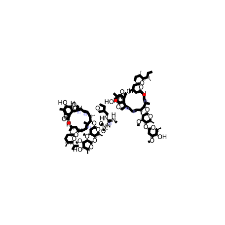 CC[C@H](C)[C@H]1O[C@]2(CC[C@@H]1C)C[C@@H]1C[C@@H](C/C=C(\C)[C@@H](O[C@H]3C[C@H](OC)[C@@H](O[C@H]4C[C@H](OC)[C@@H](O)[C@H](C)O4)[C@H](C)O3)[C@@H](C)/C=C/C=C3\CO[C@@H]4[C@H](O)C(C)=C[C@@H](C(=O)O1)[C@]34O)O2.CN/C(=N/[N+](=O)[O-])NCC1CCOC1.CO[C@H]1C[C@H](O[C@H]2[C@H](C)O[C@@H](O[C@@H]3/C(C)=C/C[C@@H]4C[C@@H](C[C@]5(CC[C@H](C)[C@@H](C(C)C)O5)O4)OC(=O)[C@@H]4C=C(C)[C@@H](O)[C@H]5OC/C(=C\C=C\[C@@H]3C)[C@]54O)C[C@@H]2OC)O[C@@H](C)[C@@H]1O